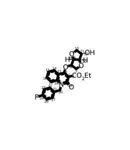 CCOC(=O)c1c(OC2CO[C@H]3[C@@H]2OC[C@@H]3O)c2ccccc2n(Cc2ccc(F)cc2)c1=O